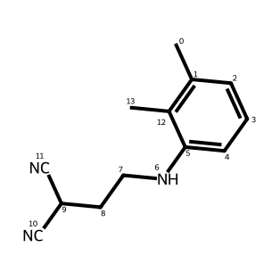 Cc1cccc(NCCC(C#N)C#N)c1C